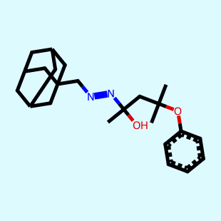 CC(O)(CC(C)(C)Oc1ccccc1)N=NCC12CC3CC(CC(C3)C1)C2